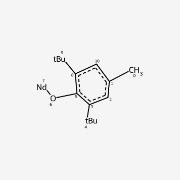 Cc1cc(C(C)(C)C)c([O][Nd])c(C(C)(C)C)c1